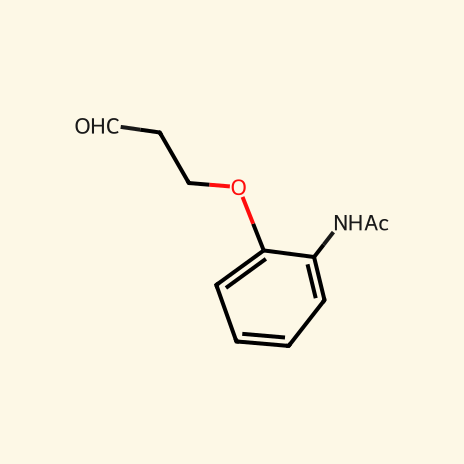 CC(=O)Nc1ccccc1OCCC=O